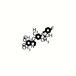 COc1cc2nccc(Oc3cc(C)c(N(Cc4ccc(F)cc4)C(=O)O)cc3C)c2cc1OC